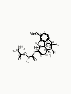 COc1ccc2c3c1O[C@H]1C(OC(=O)[C@H](C)OC(=O)[C@H](C)N)=CC[C@@]4(O)[C@@H](C2)C(C)CC[C@]314